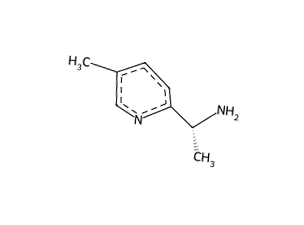 Cc1ccc([C@@H](C)N)nc1